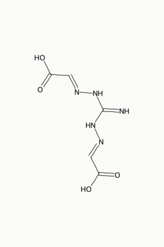 N=C(NN=CC(=O)O)NN=CC(=O)O